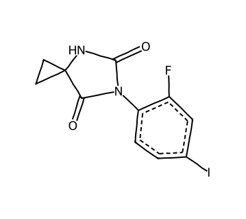 O=C1NC2(CC2)C(=O)N1c1ccc(I)cc1F